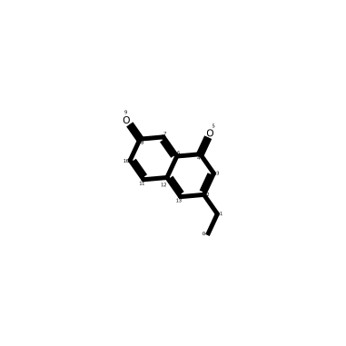 CCC1=CC(=O)C2=CC(=O)C=CC2=C1